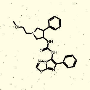 COCCN1CC(NC(=O)Nc2c(-c3ccccc3)nc3scnn23)C(c2ccccc2)C1